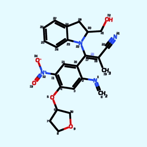 C=Nc1cc(OC2CCOC2)c([N+](=O)[O-])cc1/C(=C(\C)C#N)N1c2ccccc2CC1CO